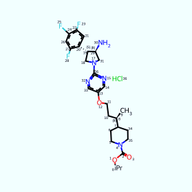 CC(C)OC(=O)N1CCC([C@H](C)CCOc2cnc(N3C[C@H](c4cc(F)c(F)cc4F)[C@@H](N)C3)nc2)CC1.Cl